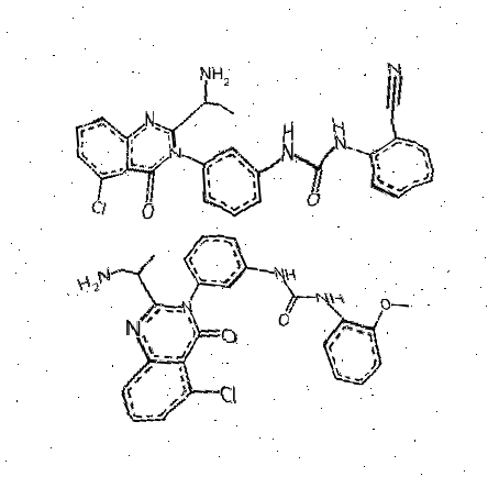 CC(N)c1nc2cccc(Cl)c2c(=O)n1-c1cccc(NC(=O)Nc2ccccc2C#N)c1.COc1ccccc1NC(=O)Nc1cccc(-n2c(C(C)N)nc3cccc(Cl)c3c2=O)c1